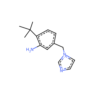 CC(C)(C)c1ccc(Cn2ccnc2)cc1N